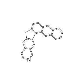 c1ccc2cc3c4c(ccc3cc2c1)Cc1cc2ccncc2cc1-4